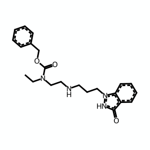 CCN(CCNCCCn1[nH]c(=O)c2ccccc21)C(=O)OCc1ccccc1